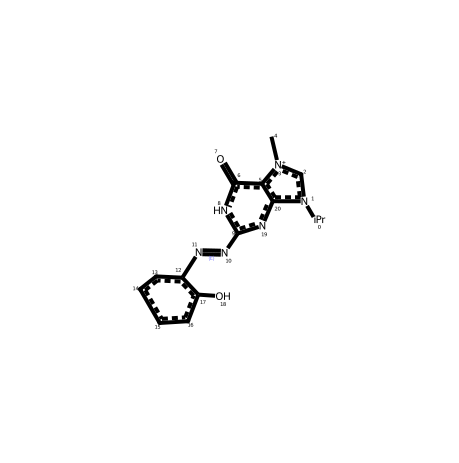 CC(C)n1c[n+](C)c2c(=O)[nH]c(/N=N/c3ccccc3O)nc21